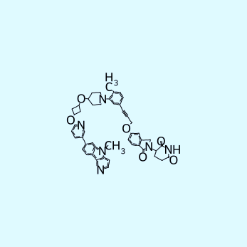 Cc1ccc(C#CCOc2ccc3c(c2)CN(C2CCC(=O)NC2=O)C3=O)cc1N1CCC(OC2CC(Oc3ccc(-c4ccc5c6cnccc6n(C)c5c4)cn3)C2)CC1